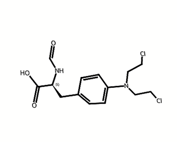 O=CN[C@@H](Cc1ccc(N(CCCl)CCCl)cc1)C(=O)O